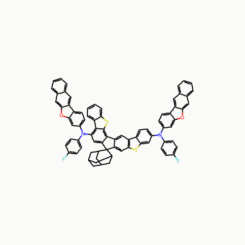 Fc1ccc(N(c2ccc3c(c2)oc2cc4ccccc4cc23)c2ccc3c(c2)sc2cc4c(cc23)-c2c(cc(N(c3ccc(F)cc3)c3ccc5c(c3)oc3cc6ccccc6cc35)c3c2sc2ccccc23)C42C3CC4CC(C3)CC2C4)cc1